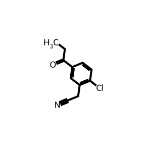 CCC(=O)c1ccc(Cl)c(CC#N)c1